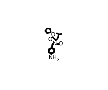 CC(C)CC(C(=O)OC1CCCC1)N(C=O)Cc1ccc(N)cc1